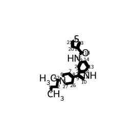 CCCC(C)N1CC=C(c2c[nH]c3ccc(NC(=O)c4ccsc4)cc23)CC1